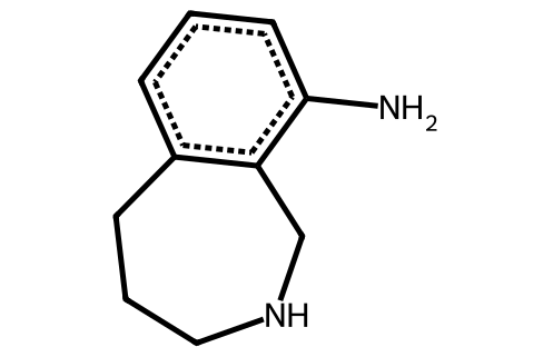 Nc1cccc2c1CNCCC2